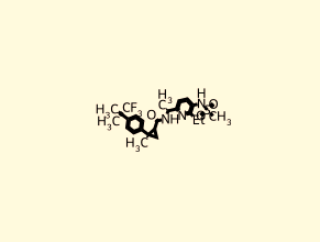 CCc1nc([C@@H](C)NC(=O)C2C[C@]2(C)c2ccc(C(C)(C)C(F)(F)F)cc2)ccc1NS(C)(=O)=O